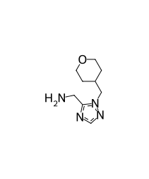 NCc1ncnn1CC1CCOCC1